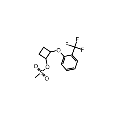 CS(=O)(=O)OC1CCC1Oc1ccccc1C(F)(F)F